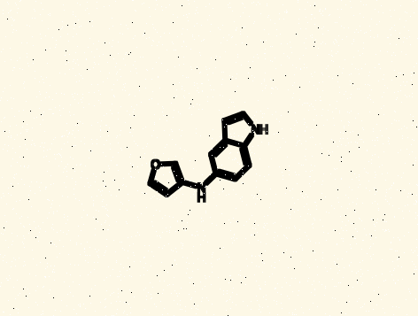 c1cc2cc(Nc3ccoc3)ccc2[nH]1